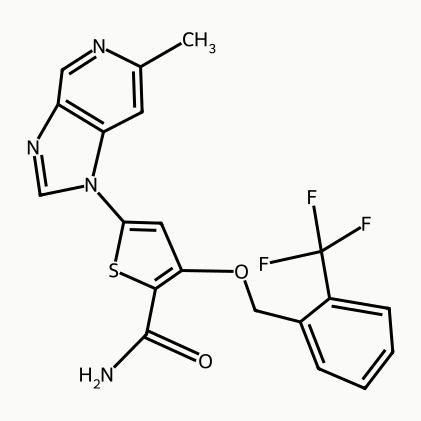 Cc1cc2c(cn1)ncn2-c1cc(OCc2ccccc2C(F)(F)F)c(C(N)=O)s1